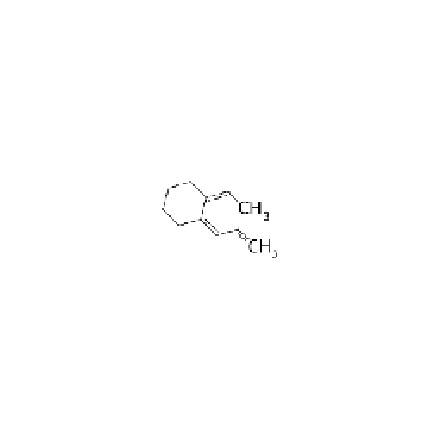 C=C/C=C1/CCCC/C1=C/C